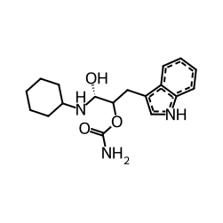 NC(=O)OC(Cc1c[nH]c2ccccc12)[C@@H](O)NC1CCCCC1